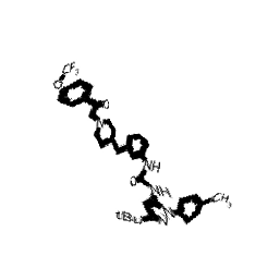 Cc1ccc(-n2nc(C(C)(C)C)cc2NC(=O)Nc2cccc(CC3CCN(CC(=O)c4ccc(OC(F)(F)F)cc4)CC3)c2)cc1